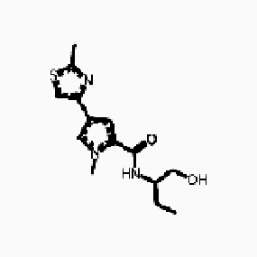 CCC(CO)NC(=O)c1cc(-c2csc(C)n2)cn1C